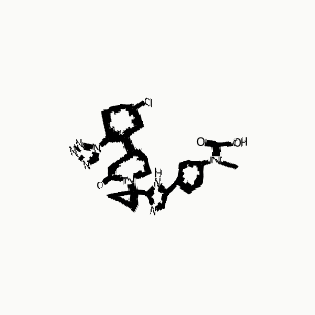 CN(C(=O)O)c1ccc(-c2cnc(C3(n4ccc(-c5cc(Cl)ccc5-n5cnnn5)cc4=O)CC3)[nH]2)cc1